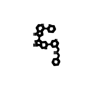 c1ccc(CNCc2cncc(-c3cc4c(-c5cc6c(-c7ccccn7)nccc6[nH]5)n[nH]c4cn3)c2)cc1